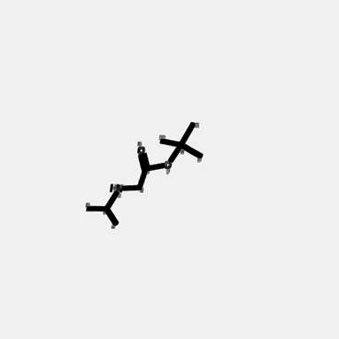 CC(C)NCC(=O)OC(C)(C)C